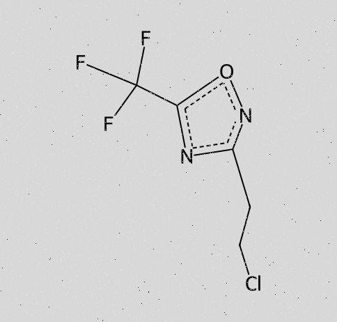 FC(F)(F)c1nc(CCCl)no1